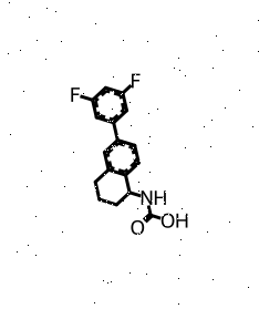 O=C(O)NC1CCCc2cc(-c3cc(F)cc(F)c3)ccc21